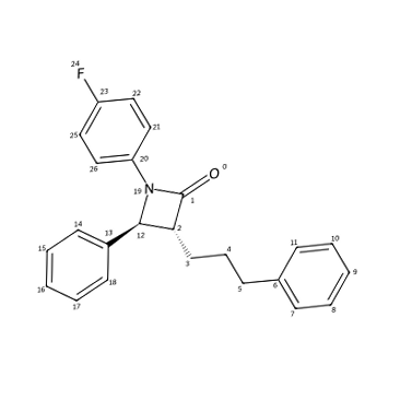 O=C1[C@H](CCCc2ccccc2)[C@@H](c2ccccc2)N1c1ccc(F)cc1